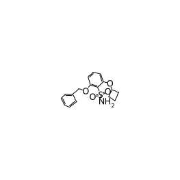 NS(=O)(=O)c1c(OCc2ccccc2)cccc1OC1CCC1